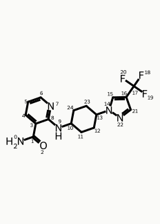 NC(=O)c1cccnc1NC1CCC(n2cc(C(F)(F)F)cn2)CC1